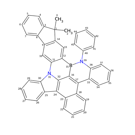 CC1(C)c2ccccc2-c2cc3c(cc21)B1c2c(c4ccccc4c4c5ccccc5n-3c24)-c2ccccc2N1c1ccccc1